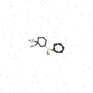 CCCC1(C)CCC[C@H](P(c2ccccc2)C(C)C)C1